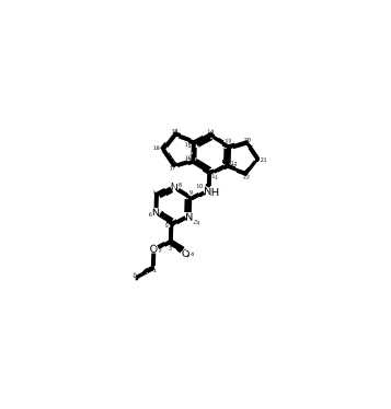 CCOC(=O)c1ncnc(Nc2c3c(cc4c2CCC4)CCC3)n1